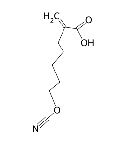 C=C(CCCCCOC#N)C(=O)O